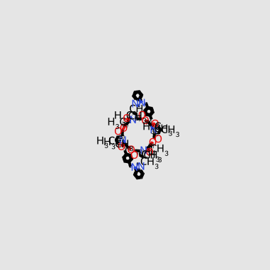 CC(C)C[C@H]1C(=O)O[C@H](Cc2ccc(Cn3cnc4ccccc43)cc2)C(=O)N(C)[C@@H](CC(C)C)C(=O)O[C@H](C)C(=O)N(C)[C@@H](CC(C)C)C(=O)O[C@H](Cc2ccc(Cn3cnc4ccccc43)cc2)C(=O)N(C)[C@@H](CC(C)C)C(=O)O[C@H](C)C(=O)N1C